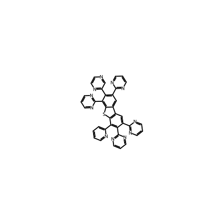 c1ccc(-c2c(-c3ncccn3)c(-c3ncccn3)cc3c2sc2c(-c4ncccn4)c(-c4cnccn4)c(-c4ncccn4)cc23)nc1